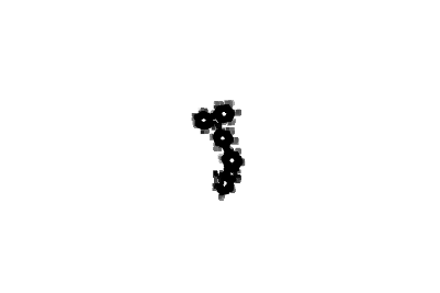 c1cnc2c(c1)sc1ccc(-c3ccc(-n4c5ccccc5c5ccccc54)cc3)cc12